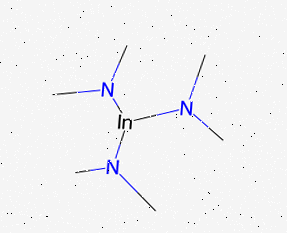 C[N](C)[In]([N](C)C)[N](C)C